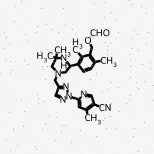 Cc1cc(-n2ncc(CN3CC(c4ccc(C)c(COC=O)c4C)NC(C)(C)C3)n2)ncc1C#N